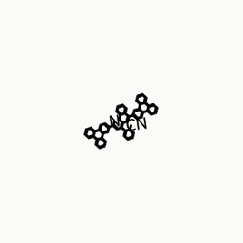 N#Cc1ccccc1-c1cc(-c2ccc3c4ccccc4c4ccccc4c3c2)nc2c1cc(-c1ccc3c4ccccc4c4ccccc4c3c1)c1ccccc12